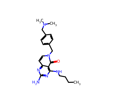 CCCCNc1nc(N)nc2ccn(Cc3ccc(CN(C)C)cc3)c(=O)c12